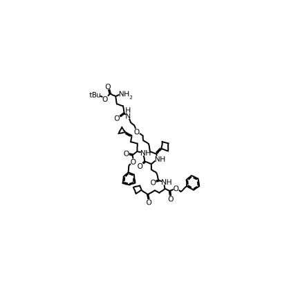 CC(C)(C)OC(=O)C(N)CCC(=O)NCCOCCCCC(NC(CCC(=O)NC(CCC(=O)C1CCC1)C(=O)OCc1ccccc1)C(=O)NC(CCC=C1CC1)C(=O)OCc1ccccc1)=C1CCC1